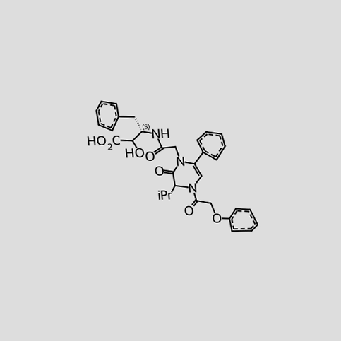 CC(C)C1C(=O)N(CC(=O)N[C@@H](Cc2ccccc2)C(O)C(=O)O)C(c2ccccc2)=CN1C(=O)COc1ccccc1